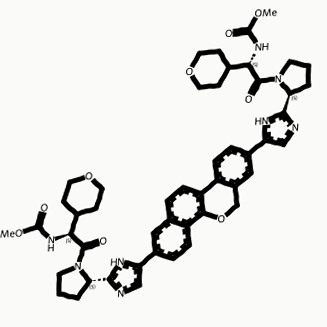 COC(=O)N[C@H](C(=O)N1CCC[C@H]1c1ncc(-c2ccc3c(c2)COc2c-3ccc3cc(-c4cnc([C@@H]5CCCN5C(=O)[C@@H](NC(=O)OC)C5CCOCC5)[nH]4)ccc23)[nH]1)C1CCOCC1